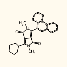 CN1C(=O)C2=C(C3CCCCC3)N(C)C(=O)C2=C1c1cc2ccccc2c2ccccc12